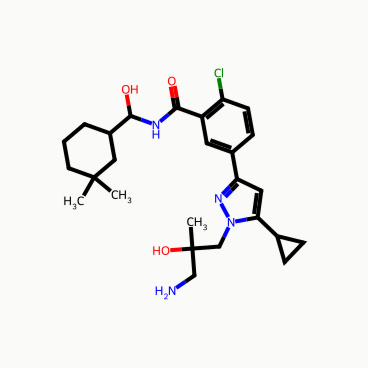 CC1(C)CCCC(C(O)NC(=O)c2cc(-c3cc(C4CC4)n(CC(C)(O)CN)n3)ccc2Cl)C1